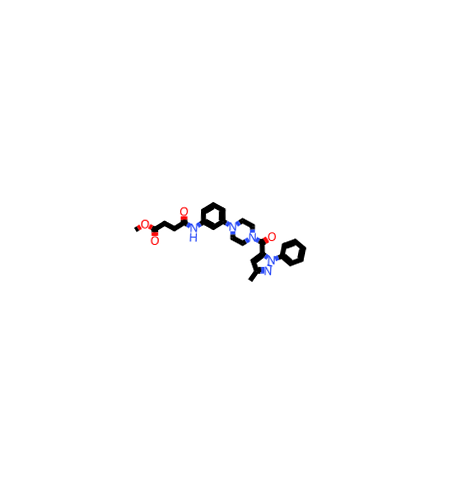 COC(=O)CCC(=O)Nc1cccc(N2CCN(C(=O)c3cc(C)nn3-c3ccccc3)CC2)c1